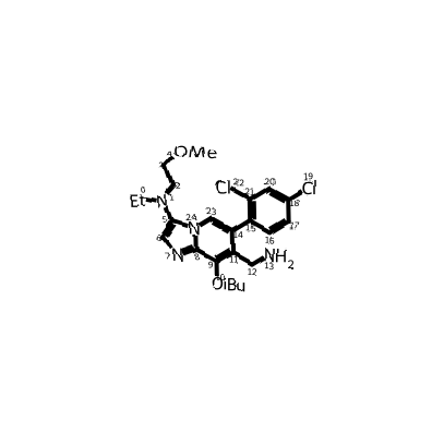 CCN(CCOC)c1cnc2c(OCC(C)C)c(CN)c(-c3ccc(Cl)cc3Cl)cn12